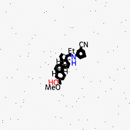 CC[C@@H](Nc1cccc(C#N)c1)[C@H]1CC[C@H]2[C@@H]3CC[C@@H]4C[C@@](O)(COC)CC[C@@H]4[C@H]3CC[C@]12C